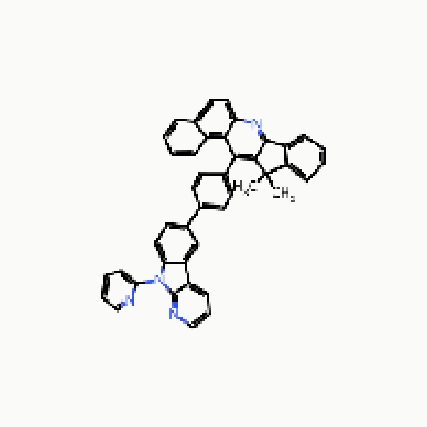 CC1(C)c2ccccc2-c2nc3ccc4ccccc4c3c(-c3ccc(-c4ccc5c(c4)c4cccnc4n5-c4ccccn4)cc3)c21